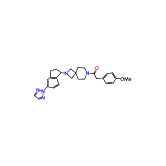 COc1ccc(CC(=O)N2CCC3(CC2)CN(C2CCc4cc(-n5nccn5)ccc42)C3)cc1